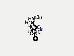 CCCCNCC(O)c1ccc2c(n1)COC(c1ccccc1)O2.O=C(O)/C=C\C(=O)O